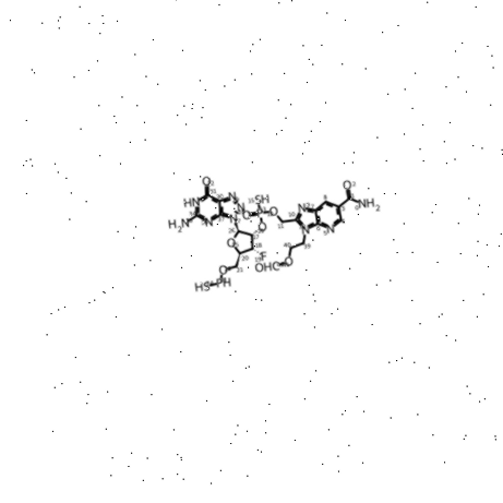 NC(=O)c1cnc2c(c1)nc(COP(=O)(S)O[C@@H]1[C@H](F)[C@@H](COPS)O[C@H]1n1nnc3c(=O)[nH]c(N)nc31)n2CCOC=O